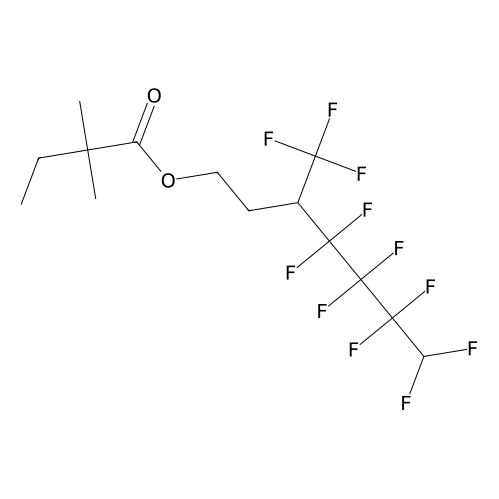 CCC(C)(C)C(=O)OCCC(C(F)(F)F)C(F)(F)C(F)(F)C(F)(F)C(F)F